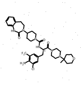 CC1(N2CCN(C(=O)[C@@H](Cc3cc(Cl)c(N)c(C(F)(F)F)c3)NC(=O)N3CCC(N4CCc5ccccc5NC4=O)CC3)CC2)CCOCC1